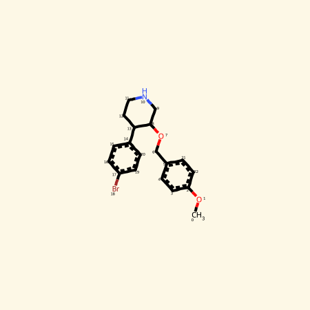 COc1ccc(COC2CNCCC2c2ccc(Br)cc2)cc1